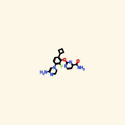 NC(=O)c1ccnc(Oc2c(C3CCC3)ccc(N3C=C(N)N=CC3)c2F)n1